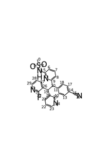 CS(=O)(=O)Nc1cccc(C(c2ccc(C#N)cc2)C(c2cccnc2)c2cccnc2F)n1